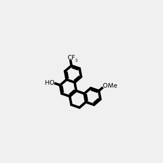 COc1ccc2c(c1)-c1c(cc(O)c3cc(C(F)(F)F)ccc13)CC2